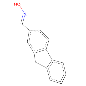 ON=Cc1ccc2c(c1)Cc1ccccc1-2